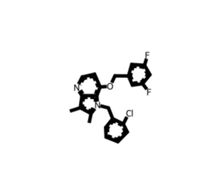 Cc1c(C)n(Cc2ccccc2Cl)c2c(OCc3cc(F)cc(F)c3)ccnc12